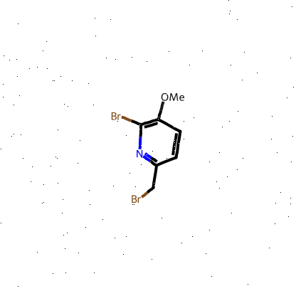 COc1ccc(CBr)nc1Br